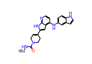 CC(C)(C)NC(=O)N1CC=C(c2cc3c(Nc4ccc5[nH]ccc5c4)ccnc3[nH]2)CC1